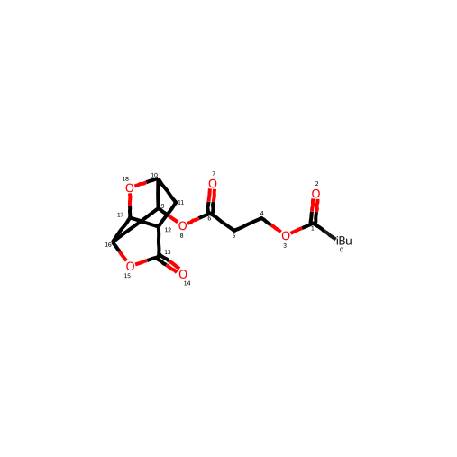 CCC(C)C(=O)OCCC(=O)OC1C2CC3C(=O)OC1C3O2